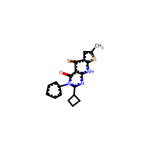 Cc1cc2c(=S)c3c(=O)n(-c4ccccc4)c(C4CCC4)nc3[nH]c2s1